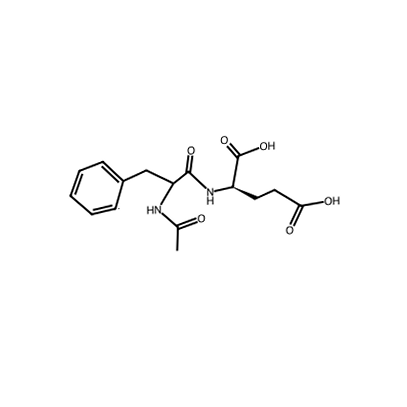 CC(=O)NC(Cc1[c]cccc1)C(=O)N[C@H](CCC(=O)O)C(=O)O